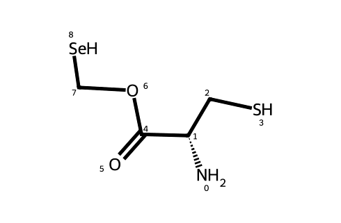 N[C@@H](CS)C(=O)OC[SeH]